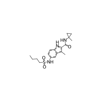 CCCCS(=O)(=O)Nc1ccc2[nH]c(C(=O)NC3(C)CC3)c(C)c2c1